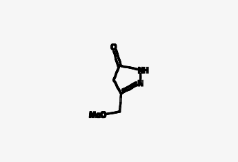 COCC1=NNC(=O)C1